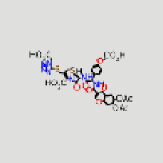 CC(=O)Oc1cc2occ(C(=O)NC(C(=O)N[C@@H]3C(=O)N4C(C(=O)O)=C(CSc5nnnn5CC(=O)O)CS[C@@H]34)c3ccc(OCC(=O)O)cc3)c(=O)c2cc1OC(C)=O